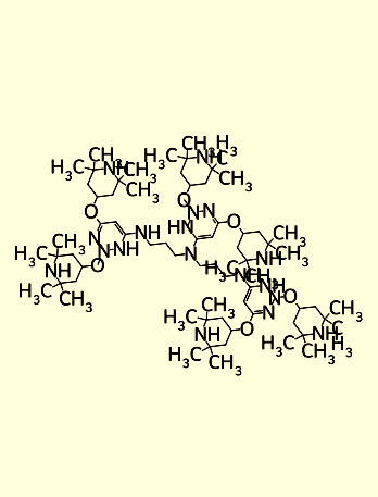 CC1(C)CC(OC2=NN(OC3CC(C)(C)NC(C)(C)C3)NC(NCCCN(CCCNC3=CC(OC4CC(C)(C)NC(C)(C)C4)=NN(OC4CC(C)(C)NC(C)(C)C4)N3)C3=CC(OC4CC(C)(C)NC(C)(C)C4)=NN(OC4CC(C)(C)NC(C)(C)C4)N3)=C2)CC(C)(C)N1